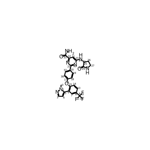 Cn1nccc1-c1cc(C(F)(F)F)ccc1Oc1ccc(-c2nc(N[C@H]3CCNC3=O)cc(C(N)=O)n2)cc1